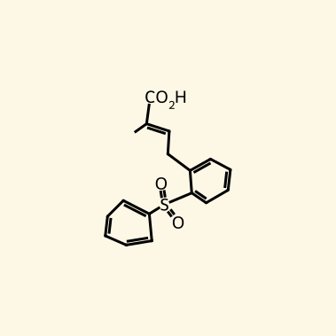 CC(=CCc1ccccc1S(=O)(=O)c1ccccc1)C(=O)O